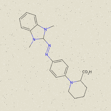 CN1c2ccccc2N(C)C1N=Nc1ccc(N2CCCCC2C(=O)O)cc1